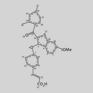 COc1ccc2c(Oc3ccc(C=CC(=O)O)cc3)c(C(=O)c3ccc(C)cc3C)sc2c1